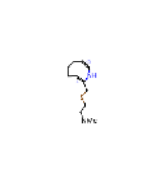 CNCCSC/C1=C\CCC/C=C\N1